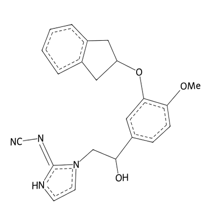 COc1ccc(C(O)Cn2cc[nH]/c2=N\C#N)cc1OC1Cc2ccccc2C1